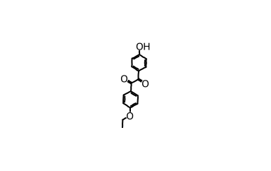 CCOc1ccc(C(=O)C(=O)c2ccc(O)cc2)cc1